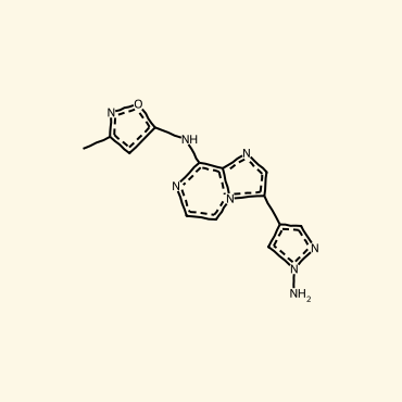 Cc1cc(Nc2nccn3c(-c4cnn(N)c4)cnc23)on1